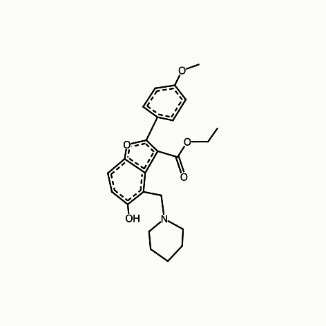 CCOC(=O)c1c(-c2ccc(OC)cc2)oc2ccc(O)c(CN3CCCCC3)c12